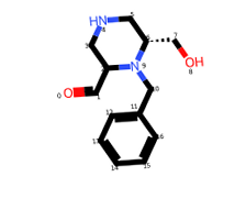 O=CC1CNC[C@H](CO)N1Cc1ccccc1